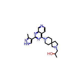 Cc1n[nH]cc1-c1nc(N2CCC3(CCN(CC(C)O)C3)CC2)c2ccncc2n1